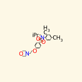 Cc1ccc(N(CC(C)C)S(=O)(=O)c2ccc(OCCN3CCOCC3)cc2)c(C)c1